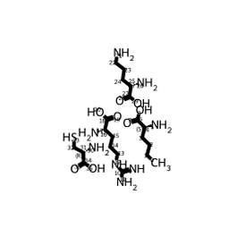 CCCC[C@H](N)C(=O)O.N=C(N)NCCC[C@H](N)C(=O)O.NCCC[C@H](N)C(=O)O.N[C@@H](CS)C(=O)O